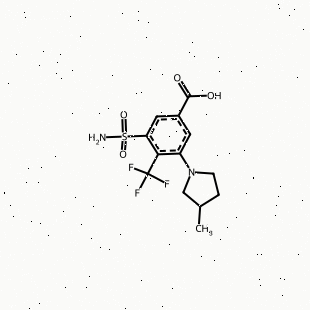 CC1CCN(c2cc(C(=O)O)cc(S(N)(=O)=O)c2C(F)(F)F)C1